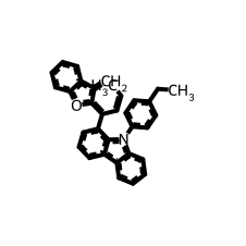 C=c1/c(=C(\C=C/C)c2cccc3c4ccccc4n(-c4ccc(CC)cc4)c23)oc2ccccc12